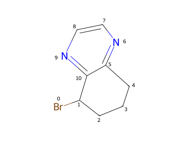 BrC1CCCc2nccnc21